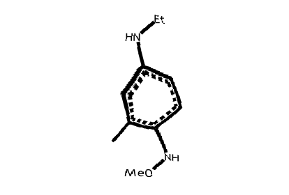 CCNc1ccc(NOC)c(C)c1